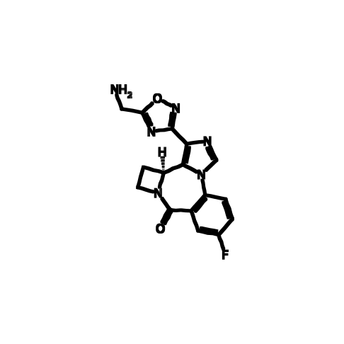 NCc1nc(-c2ncn3c2[C@@H]2CCN2C(=O)c2cc(F)ccc2-3)no1